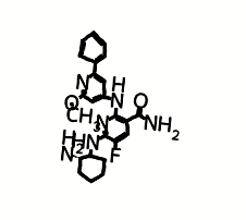 COc1cc(Nc2nc(NC3CCCC[C@@H]3N)c(F)cc2C(N)=O)cc(-c2ccccc2)n1